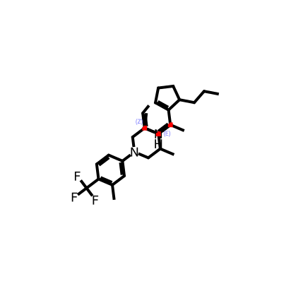 C/C=C\C(=C/C1=CCCC1CCC)C(C)CN(CC(C)NCC)c1ccc(C(F)(F)F)c(C)c1